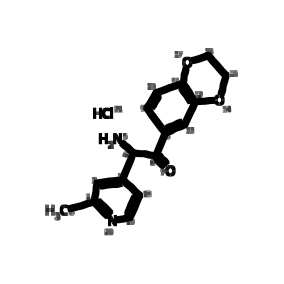 Cc1cc(C(N)C(=O)c2ccc3c(c2)OCCO3)ccn1.Cl